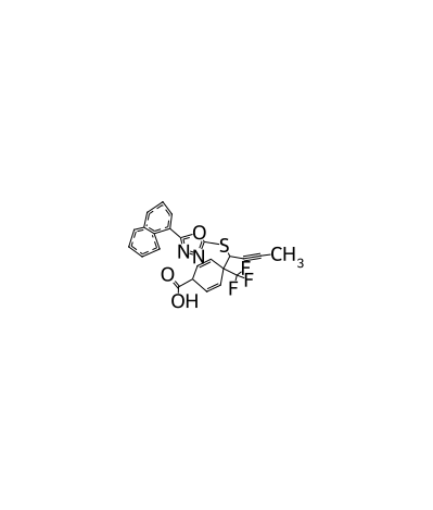 CC#CC(Sc1nnc(-c2cccc3ccccc23)o1)C1(C(F)(F)F)C=CC(C(=O)O)C=C1